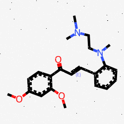 COc1ccc(C(=O)/C=C/c2ccccc2N(C)CCN(C)C)c(OC)c1